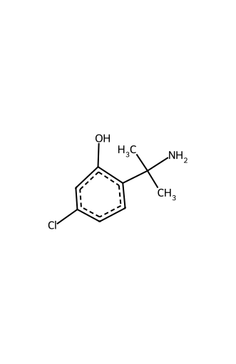 CC(C)(N)c1ccc(Cl)cc1O